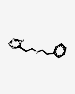 c1ccc(CCOCCc2nnn[nH]2)cc1